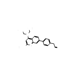 CCN(CC)c1cc(C)nc2cc(-c3ccc(CC=O)cc3)ccc12